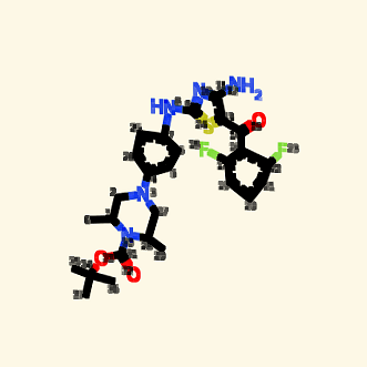 CC1CN(c2ccc(Nc3nc(N)c(C(=O)c4c(F)cccc4F)s3)cc2)CC(C)N1C(=O)OC(C)(C)C